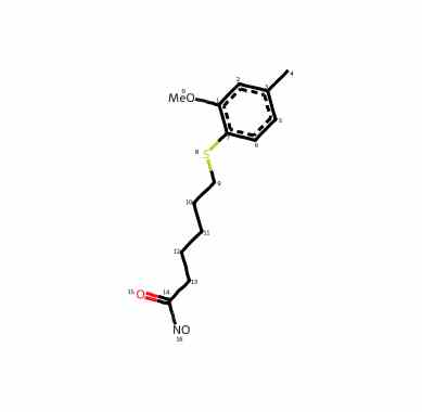 COc1cc(C)ccc1SCCCCCC(=O)N=O